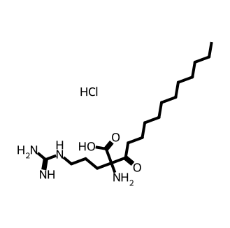 CCCCCCCCCCCC(=O)C(N)(CCCNC(=N)N)C(=O)O.Cl